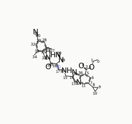 CCOC(=O)c1cc(C2CC2)cn2cc(CN/C=C(\N=N)C(=O)NCc3c(C)cc(C#N)cc3C)nc12